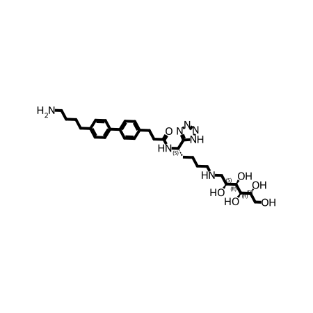 NCCCCc1ccc(-c2ccc(CCC(=O)N[C@@H](CCCCNC[C@H](O)[C@@H](O)[C@H](O)[C@H](O)CO)c3nnn[nH]3)cc2)cc1